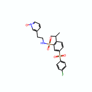 CC(C)c1ccc(S(=O)(=O)c2ccc(F)cc2)cc1S(=O)(=O)NCCc1ccc[n+]([O-])c1